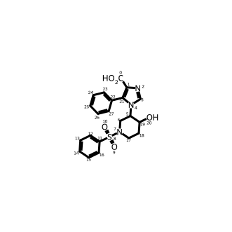 O=C(O)c1ncn(C2CN(S(=O)(=O)c3ccccc3)CCC2O)c1-c1ccccc1